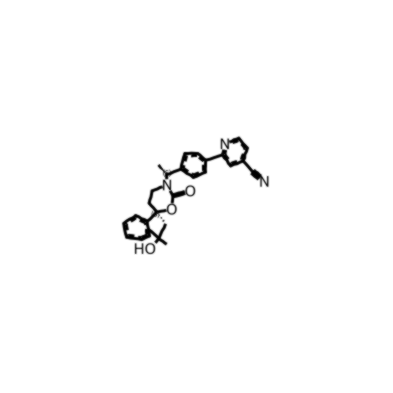 C[C@@H](c1ccc(-c2cc(C#N)ccn2)cc1)N1CC[C@](CC(C)(C)O)(c2ccccc2)OC1=O